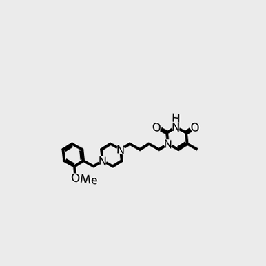 COc1ccccc1CN1CCN(CCCCn2cc(C)c(=O)[nH]c2=O)CC1